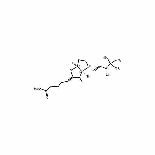 CCCCC(C)([C@H](O)/C=C/[C@H]1CC[C@H]2O/C(=C\CCCC(=O)OC)C(F)[C@H]12)C(F)(F)F